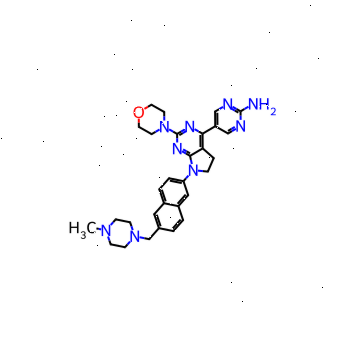 CN1CCN(Cc2ccc3cc(N4CCc5c(-c6cnc(N)nc6)nc(N6CCOCC6)nc54)ccc3c2)CC1